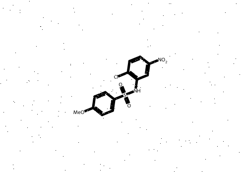 COc1ccc(S(=O)(=O)Nc2cc([N+](=O)[O-])ccc2Cl)cc1